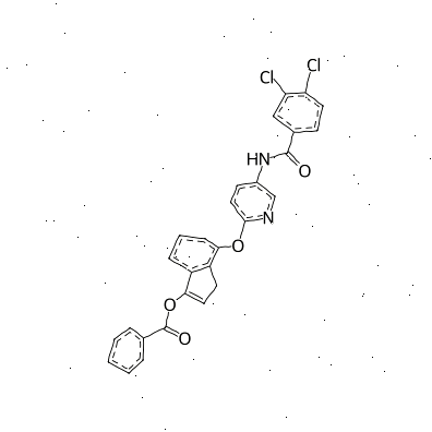 O=C(Nc1ccc(Oc2cccc3c2CC=C3OC(=O)c2ccccc2)nc1)c1ccc(Cl)c(Cl)c1